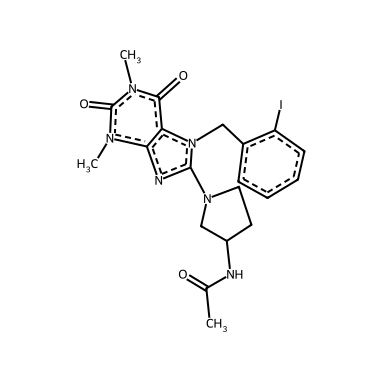 CC(=O)NC1CCN(c2nc3c(c(=O)n(C)c(=O)n3C)n2Cc2ccccc2I)C1